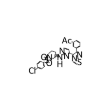 CC(=O)c1cccc(C2N=C3SC=CN3C2c2ccnc(N[C@@H]3CCCN(S(=O)(=O)c4ccc(Cl)cc4)C3)n2)c1